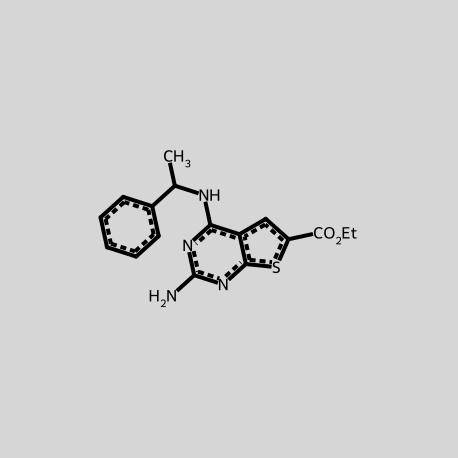 CCOC(=O)c1cc2c(NC(C)c3ccccc3)nc(N)nc2s1